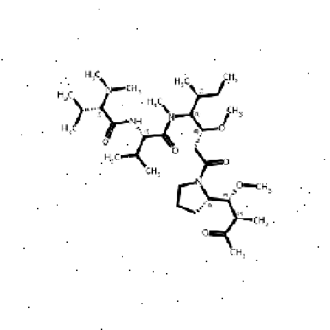 CC[C@H](C)[C@@H]([C@@H](CC(=O)N1CCC[C@H]1[C@H](OC)[C@@H](C)C(C)=O)OC)N(C)C(=O)[C@@H](NC(=O)[C@H](C(C)C)N(C)C)C(C)C